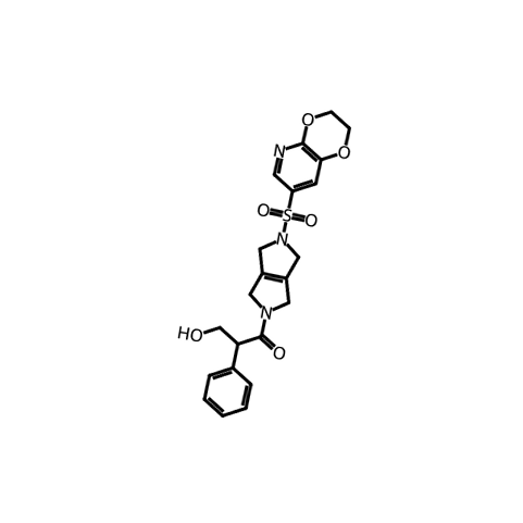 O=C(C(CO)c1ccccc1)N1CC2=C(C1)CN(S(=O)(=O)c1cnc3c(c1)OCCO3)C2